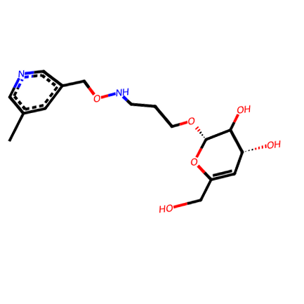 Cc1cncc(CONCCCO[C@H]2OC(CO)=C[C@@H](O)C2O)c1